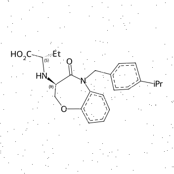 CC[C@H](N[C@@H]1COc2ccccc2N(Cc2ccc(C(C)C)cc2)C1=O)C(=O)O